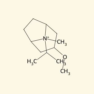 COC1CC2CCC(C1)[N+]2(C)C(C)C